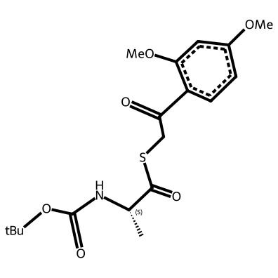 COc1ccc(C(=O)CSC(=O)[C@H](C)NC(=O)OC(C)(C)C)c(OC)c1